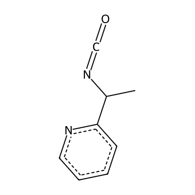 CC(N=C=O)c1ccccn1